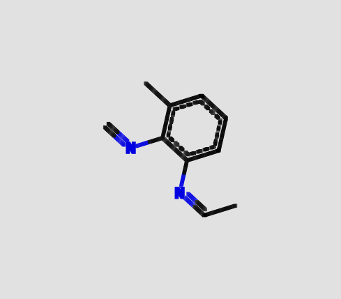 C=Nc1c(C)cccc1/N=C\C